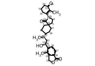 CC1=C(N2CCC3(CCC(N(C)C[C@H](O)c4ccc5c(c4C)COC5=O)CC3)C2=O)CCCC1=O